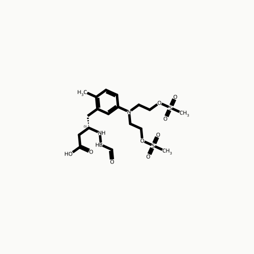 Cc1ccc(N(CCOS(C)(=O)=O)CCOS(C)(=O)=O)cc1C[C@@H](CC(=O)O)NBC=O